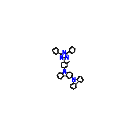 Cc1cc(-n2c3ccccc3c3cc(-n4c5ccccc5c5ccccc54)ccc32)ccc1-c1nc(-c2ccccc2)nc(-c2ccccc2)n1